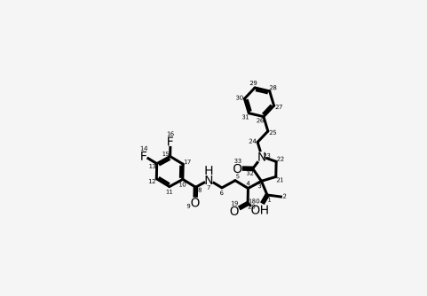 C=C(C)C1(C(CCNC(=O)c2ccc(F)c(F)c2)C(=O)O)CCN(CCc2ccccc2)C1=O